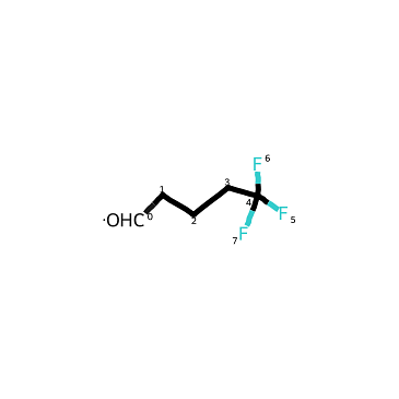 O=[C]CCCC(F)(F)F